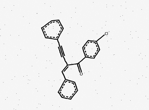 O=C(C(C#Cc1ccccc1)=Cc1ccccc1)c1ccc(Cl)cc1